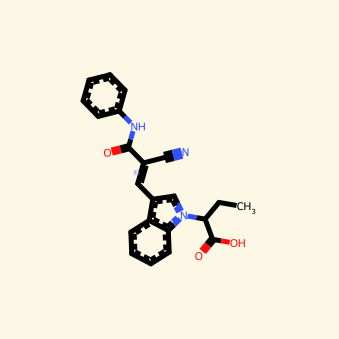 CCC(C(=O)O)n1cc(/C=C(\C#N)C(=O)Nc2ccccc2)c2ccccc21